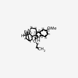 C=CCOC(=O)[C@]12CC3C[C@H](CC)C1N(CCc1c2[nH]c2ccc(OC)cc12)C3